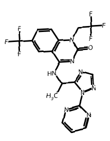 CC(Nc1nc(=O)n(CC(F)(F)F)c2ccc(C(F)(F)F)cc12)c1ncnn1-c1ncccn1